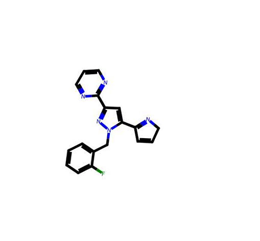 Fc1ccccc1Cn1nc(-c2ncccn2)cc1C1=NCC=C1